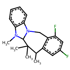 CC1c2cc(F)cc(F)c2CN2c3ccccc3N(C)C2C1(C)C